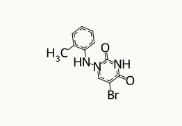 Cc1ccccc1Nn1cc(Br)c(=O)[nH]c1=O